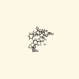 COC(=O)[C@H](Cc1ccccc1)NC(=O)[C@H]1C[C@@](C)(c2cccc(O[Si](C)(C)C(C)(C)C)c2)[C@@H](C)CN1C(=O)OC(C)(C)C